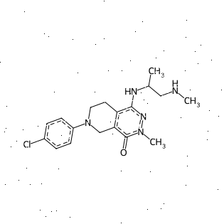 CNCC(C)Nc1nn(C)c(=O)c2c1CCN(c1ccc(Cl)cc1)C2